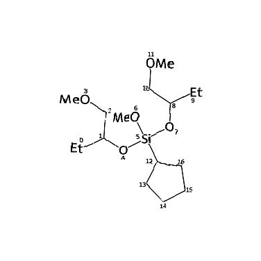 CCC(COC)O[Si](OC)(OC(CC)COC)C1CCCC1